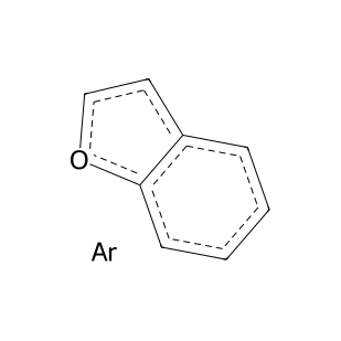 [Ar].c1ccc2occc2c1